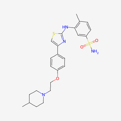 Cc1ccc(S(N)(=O)=O)cc1Nc1nc(-c2ccc(OCCN3CCC(C)CC3)cc2)cs1